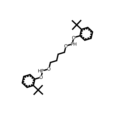 CC(C)(C)c1ccccc1OPOCCCCOPOc1ccccc1C(C)(C)C